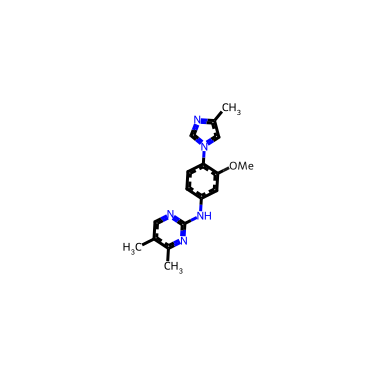 COc1cc(Nc2ncc(C)c(C)n2)ccc1-n1cnc(C)c1